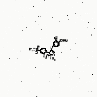 COc1ccc(OC2=COC(C)(C)C2c2ccc(S(C)(=O)=O)cc2)cc1Cl